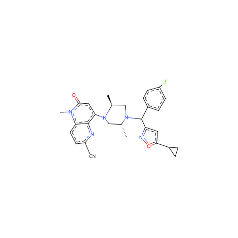 C[C@@H]1CN(c2cc(=O)n(C)c3ccc(C#N)nc23)[C@@H](C)CN1C(c1ccc(F)cc1)c1cc(C2CC2)on1